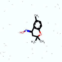 Cc1ccc2c(c1)C(=NO)CC(C)(C)O2